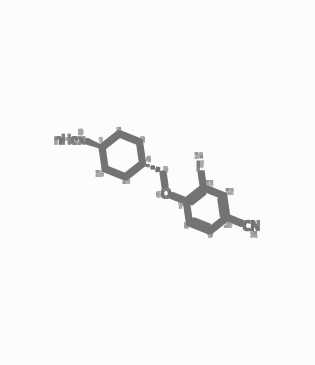 CCCCCC[C@H]1CC[C@H](COc2ccc(C#N)cc2F)CC1